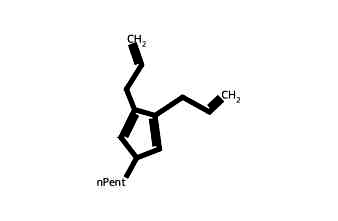 C=CCC1=[C]C(CCCCC)C=C1CC=C